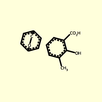 Cc1cccc(C(=O)O)c1O.c1cc2ccc1CO2